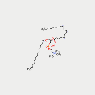 CCCCCCCC/C=C\C/C=C\C/C=C\CCCC(=O)O[C@H](CO/C=C\CCCCCCCCCCCCCC)COP(=O)(O)OCC[N+](C)(C)C